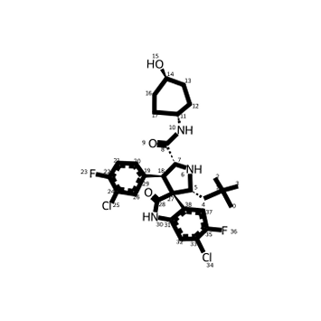 CC(C)(C)C[C@H]1N[C@@H](C(=O)N[C@H]2CC[C@H](O)CC2)[C@H](c2ccc(F)c(Cl)c2)[C@@]12C(=O)Nc1cc(Cl)c(F)cc12